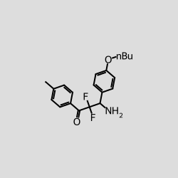 CCCCOc1ccc(C(N)C(F)(F)C(=O)c2ccc(C)cc2)cc1